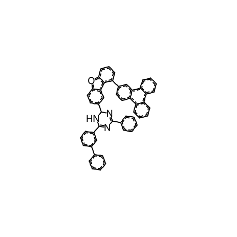 c1ccc(C2=NC(c3ccc4oc5cccc(-c6ccc7c8ccccc8c8ccccc8c7c6)c5c4c3)NC(c3cccc(-c4ccccc4)c3)=N2)cc1